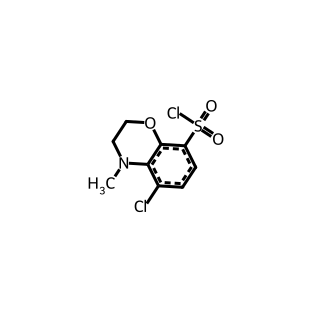 CN1CCOc2c(S(=O)(=O)Cl)ccc(Cl)c21